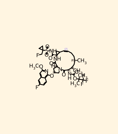 COc1cc2cc(F)ccc2c(O[C@@H]2C[C@H]3C(=O)N[C@]4(C(=O)NS(=O)(=O)C5(CF)CC5)CC4/C=C\CC[C@@H](C)C[C@@H](C)[C@H](NC(=O)OC(C)(C)C(F)(F)F)C(=O)N3C2)n1